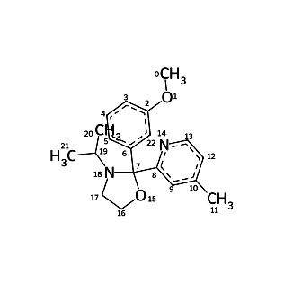 COc1cccc(C2(c3cc(C)ccn3)OCCN2C(C)C)c1